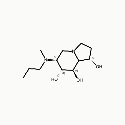 CCCN(C)[C@H]1CN2CC[C@H](O)C2[C@@H](O)[C@@H]1O